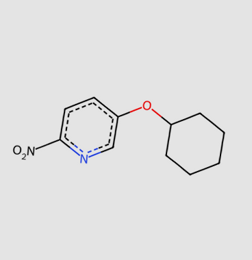 O=[N+]([O-])c1ccc(OC2CCCCC2)cn1